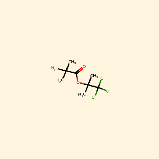 CC(C)(C)C(=O)OC(C)(C)C(Cl)(Cl)Cl